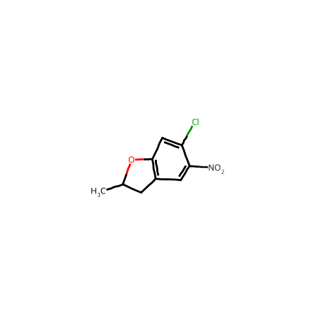 CC1Cc2cc([N+](=O)[O-])c(Cl)cc2O1